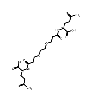 CC(=O)CC[C@H](NC(=O)CCOCCOCCC(=O)N[C@@H](CCC(C)=O)C(=O)O)C(=O)O